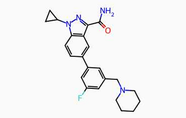 NC(=O)c1nn(C2CC2)c2ccc(-c3cc(F)cc(CN4CCCCC4)c3)cc12